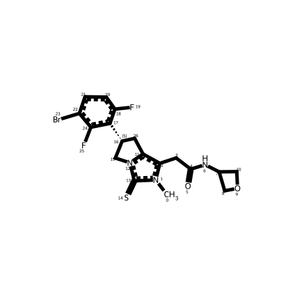 Cn1c(CC(=O)NC2COC2)c2n(c1=S)C[C@H](c1c(F)ccc(Br)c1F)C2